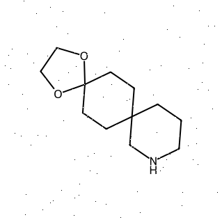 C1CNCC2(C1)CCC1(CC2)OCCO1